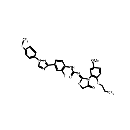 COc1ccc(OCCC(F)(F)F)c(N2C(=O)CSC2=NC(=O)Nc2ccc(-c3ncn(-c4ccc(OC(F)(F)F)cc4)n3)cc2F)c1